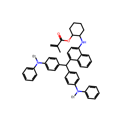 C=C(C)C(=O)OC1CCCCC1Nc1ccc(C(c2ccc(N(CC)c3ccccc3)cc2)c2ccc(N(CC)c3ccccc3)cc2)c2ccccc12